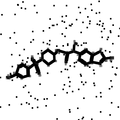 CC(C)N(C(=O)NC1CCN(S(=O)(=O)c2ccc(C#N)cc2)CC1)c1ccc2nc(S)sc2c1